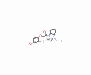 CN(C)[C@H]1CCCC[C@@H]1NC(=O)COc1ccc(Br)cc1Cl